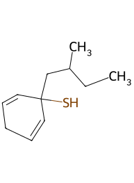 CCC(C)CC1(S)C=CCC=C1